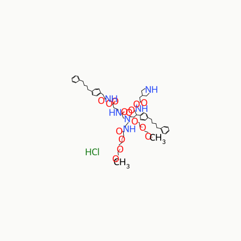 COCCOCCOCC(=O)NCCN(CC(=O)NCCC(=O)ONC(=O)Cc1ccc(CCCCc2ccccc2)cc1)C(=O)C(OCCOCCOC)C(C(=O)NOC(=O)CC1CCNCC1)c1ccc(CCCCc2ccccc2)cc1.Cl